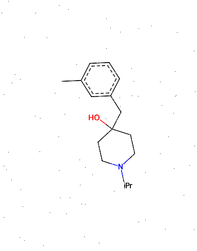 Cc1cccc(CC2(O)CCN(C(C)C)CC2)c1